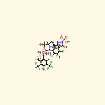 [2H]c1c([2H])c([C@]2([2H])N(C([2H])([2H])C3=NN(P(=O)(OC)OC)C(=O)C3)C(C)(C)C([2H])(C)O[C@]2([2H])O[C@@](C)(c2c([2H])c(C(C)(F)F)c([2H])c(C(F)(F)F)c2C)C([2H])(C)C)c(C)c([2H])c1F